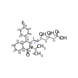 CC(C)n1c(/C=C/C(O)CC(O)CC(=O)O)c(-c2ccc(F)cc2)c2ccccc2c1=O